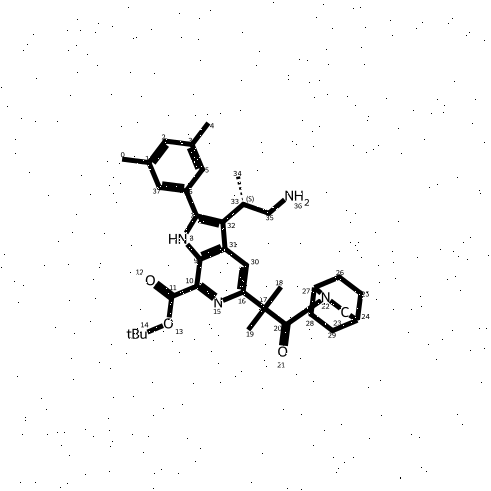 Cc1cc(C)cc(-c2[nH]c3c(C(=O)OC(C)(C)C)nc(C(C)(C)C(=O)N4CC5CCC4CC5)cc3c2[C@H](C)CN)c1